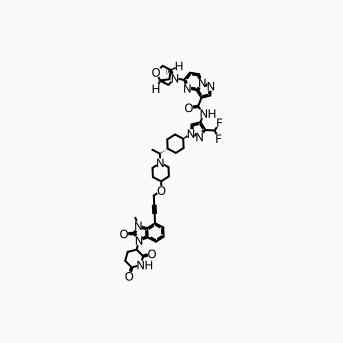 CC([C@H]1CC[C@H](n2cc(NC(=O)c3cnn4ccc(N5C[C@H]6C[C@@H]5CO6)nc34)c(C(F)F)n2)CC1)N1CCC(OCC#Cc2cccc3c2n(C)c(=O)n3C2CCC(=O)NC2=O)CC1